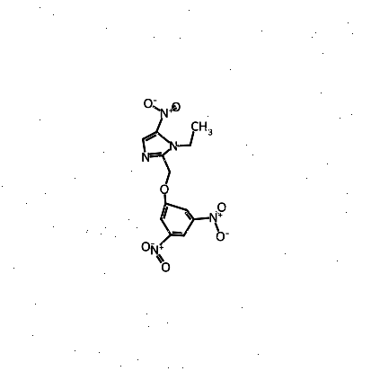 CCn1c([N+](=O)[O-])cnc1COc1cc([N+](=O)[O-])cc([N+](=O)[O-])c1